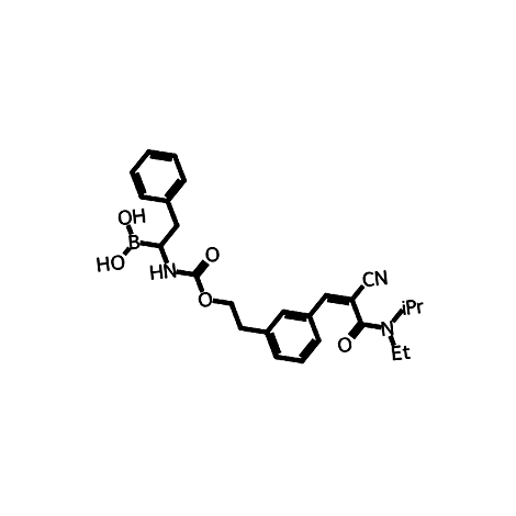 CCN(C(=O)C(C#N)=Cc1cccc(CCOC(=O)NC(Cc2ccccc2)B(O)O)c1)C(C)C